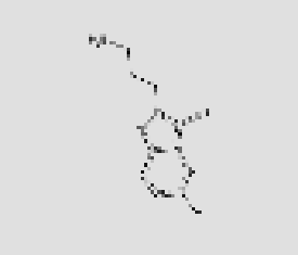 BCCCn1nc2ccc(Cl)nn2c1=O